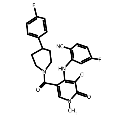 Cn1cc(C(=O)N2CCC(c3ccc(F)cc3)CC2)c(Nc2cc(F)ccc2C#N)c(Cl)c1=O